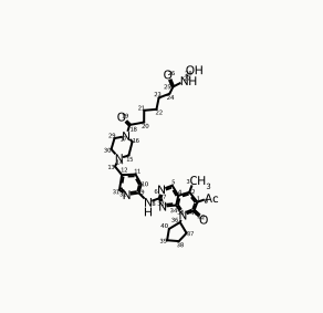 CC(=O)c1c(C)c2cnc(Nc3ccc(CN4CCN(C(=O)CCCCCC(=O)NO)CC4)cn3)nc2n(C2CCCC2)c1=O